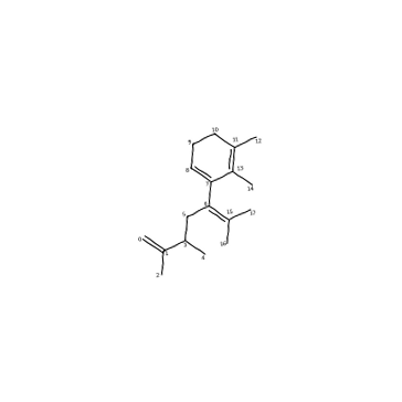 C=C(C)C(C)CC(C1=CCCC(C)=C1C)=C(C)C